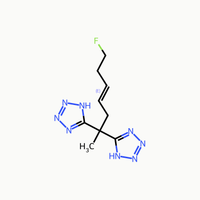 CC(C/C=C/CCF)(c1nnn[nH]1)c1nnn[nH]1